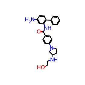 Nc1ccc(-c2ccccc2)c(NC(=O)c2ccc(N3CC[C@H](NCCO)C3)cc2)c1